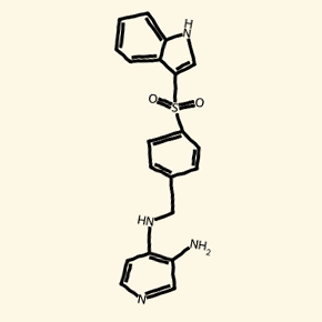 Nc1cnccc1NCc1ccc(S(=O)(=O)c2c[nH]c3ccccc23)cc1